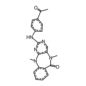 CC(=O)c1ccc(Nc2ncc3c(n2)N(C)c2ccccc2C(=O)N3C)cc1